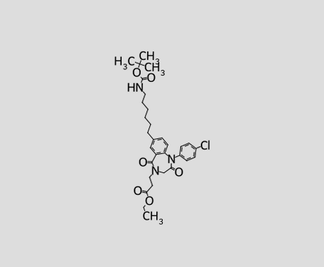 CCOC(=O)CCN1CC(=O)N(c2ccc(Cl)cc2)c2ccc(CCCCCCNC(=O)OC(C)(C)C)cc2C1=O